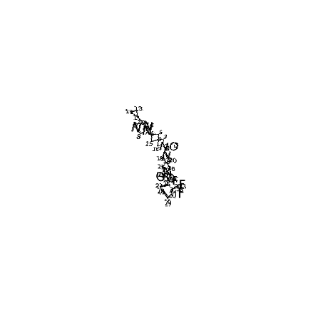 O=C(N1CC2(CC(n3cnc(C4CC4)n3)C2)C1)N1CC2(C1)CN(S(=O)(=O)c1ccccc1C(F)(F)F)C2